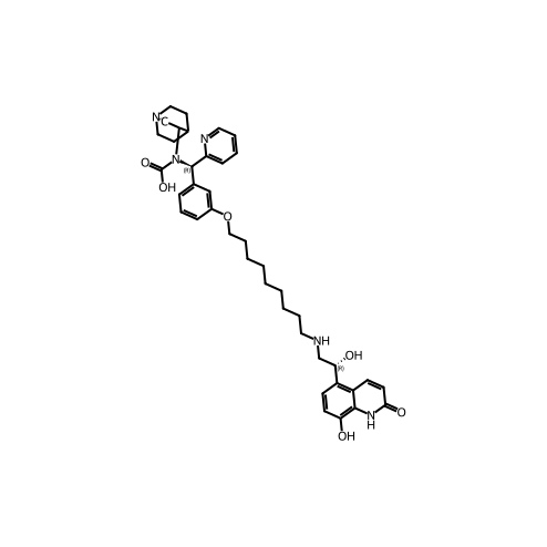 O=C(O)N(C1CN2CCC1CC2)[C@H](c1cccc(OCCCCCCCCCNC[C@H](O)c2ccc(O)c3[nH]c(=O)ccc23)c1)c1ccccn1